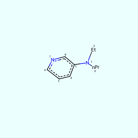 CCCN(CC)c1cccnc1